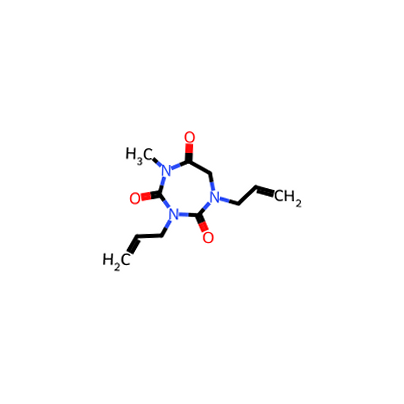 C=CCN1CC(=O)N(C)C(=O)N(CC=C)C1=O